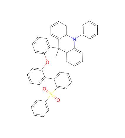 CC1(c2ccccc2Oc2ccccc2-c2ccccc2S(=O)(=O)c2ccccc2)c2ccccc2N(c2ccccc2)c2ccccc21